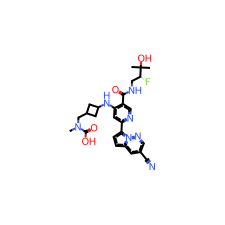 CN(CC1CC(Nc2cc(-c3ccc4cc(C#N)cnn34)ncc2C(=O)NC[C@@H](F)C(C)(C)O)C1)C(=O)O